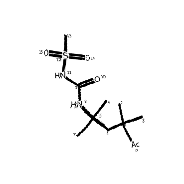 CC(=O)C(C)(C)CC(C)(C)NC(=O)NS(C)(=O)=O